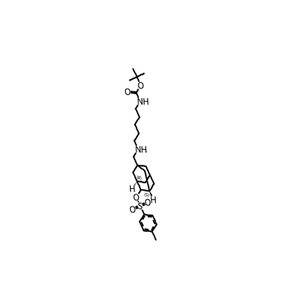 Cc1ccc(S(=O)(=O)OC2[C@@H]3CC4C[C@H]2CC(CNCCCCCNC(=O)OC(C)(C)C)(C4)C3)cc1